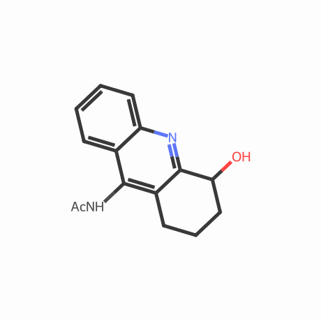 CC(=O)Nc1c2c(nc3ccccc13)C(O)CCC2